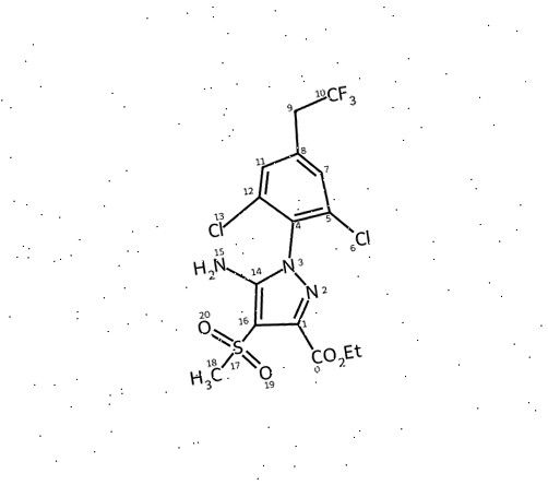 CCOC(=O)c1nn(-c2c(Cl)cc(CC(F)(F)F)cc2Cl)c(N)c1S(C)(=O)=O